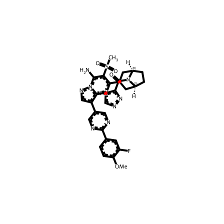 COc1ccc(-c2ncc(-c3cnn4c(N)c(S(C)(=O)=O)c(C5C[C@H]6CC[C@@H](C5)N6C(=O)c5nnc[nH]5)nc34)cn2)cc1F